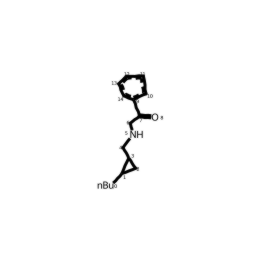 CCCCC1CC1CNCC(=O)c1ccccc1